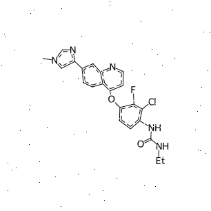 CCNC(=O)Nc1ccc(Oc2ccnc3cc(-c4cn(C)cn4)ccc23)c(F)c1Cl